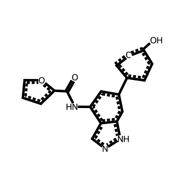 O=C(Nc1cc(-c2ccc(O)cc2)cc2[nH]ncc12)c1ccco1